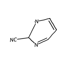 N#CC1[N]C=CC=N1